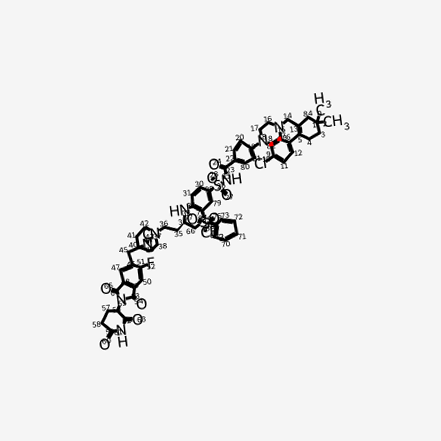 CC1(C)CCC(c2ccc(Cl)cc2)=C(CN2CCN(c3ccc(C(=O)NS(=O)(=O)c4ccc(N[C@H](CCN5CC6CCC5CN6Cc5cc6c(cc5F)C(=O)N(C5CCC(=O)NC5=O)C6=O)CSc5ccccc5)c(S(=O)(=O)C(F)(F)F)c4)cc3)CC2)C1